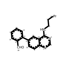 CC(C)CCNc1ncnc2ccc(-c3ccccc3C=O)cc12